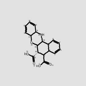 O=C(O)C1C2C=CC=CC2C2NC3C=CC=CC3OC2[C@H]1C(=O)O